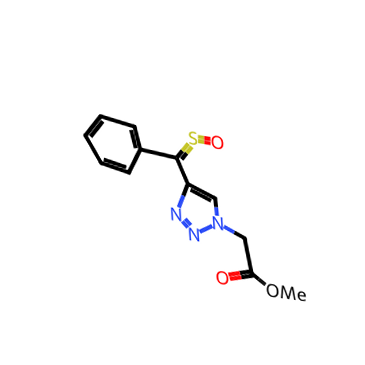 COC(=O)Cn1cc(C(=S=O)c2ccccc2)nn1